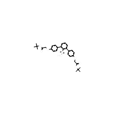 CC(C)(C)OC(=O)COc1ccc(-c2cccc(-c3ccc(OCC(=O)OC(C)(C)C)cc3)c2S(=O)(=O)O)cc1